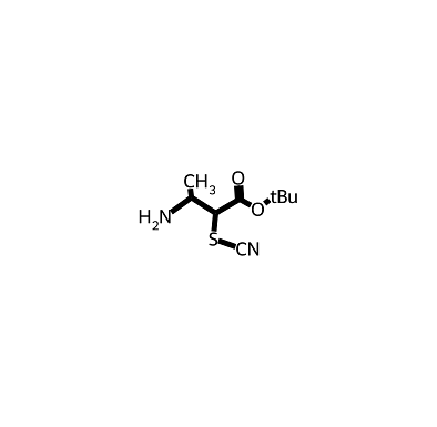 CC(N)C(SC#N)C(=O)OC(C)(C)C